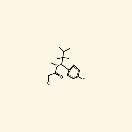 CC(C)C(C)(C)C(c1ccc(F)cc1)N(C)C(=O)CO